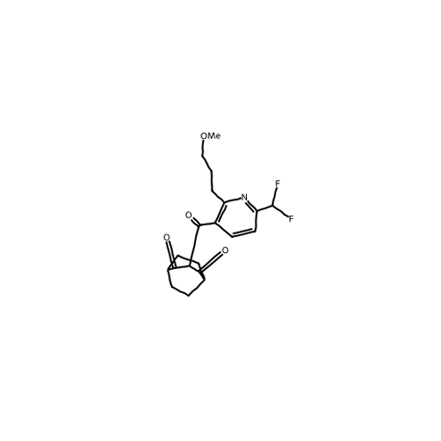 COCCCc1nc(C(F)F)ccc1C(=O)C1C(=O)C2CCC(CC2)C1=O